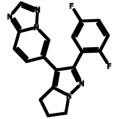 Fc1ccc(F)c(-c2nn3c(c2-c2ccc4ncnn4c2)CCC3)c1